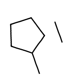 CC.CC1CCCC1